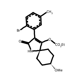 CCOC(=O)OC1=C(c2cc(C)ccc2Br)C(=O)N[C@]12CC[C@@H](OC)CC2